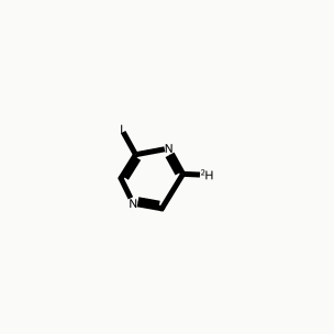 [2H]c1cncc(I)n1